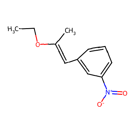 CCO/C(C)=C/c1cccc([N+](=O)[O-])c1